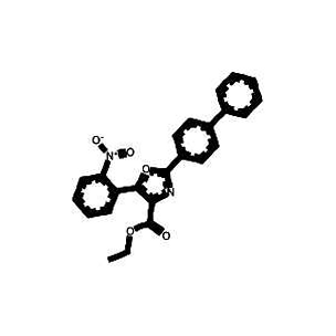 CCOC(=O)c1nc(-c2ccc(-c3ccccc3)cc2)oc1-c1ccccc1[N+](=O)[O-]